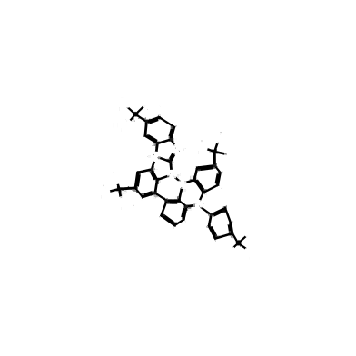 CC(C)(C)c1ccc(N2c3ccc(C(C)(C)C)cc3B3c4c(cccc42)-c2cc(C(C)(C)C)cc4c2n3c2nc3ccc(C(C)(C)C)cc3n42)cc1